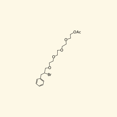 CC(=O)OCCOCCOCCOCCOCC(Br)Cc1ccccc1